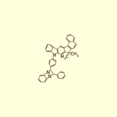 CC1(C)c2cc3c(cc2-c2c1ccc1ccccc21)c1ccccc1n3-c1ccc(C2C(c3ccccc3)n3c4ccccc4n32)cc1